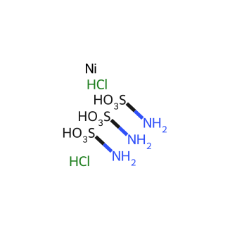 Cl.Cl.NS(=O)(=O)O.NS(=O)(=O)O.NS(=O)(=O)O.[Ni]